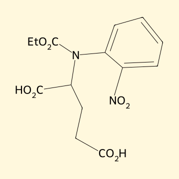 CCOC(=O)N(c1ccccc1[N+](=O)[O-])C(CCC(=O)O)C(=O)O